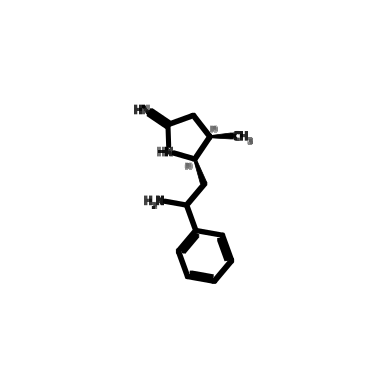 C[C@@H]1CC(=N)N[C@@H]1CC(N)c1ccccc1